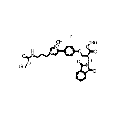 C[n+]1cn(CCCNC(=O)OC(C)(C)C)cc1-c1ccc(OCC(ON2C(=O)c3ccccc3C2=O)C(=O)OC(C)(C)C)cc1.[I-]